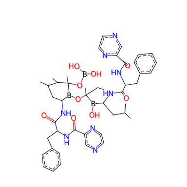 CCC(C)(OB(C(CC(C)C)NC(=O)C(Cc1ccccc1)NC(=O)c1cnccn1)C(C)(CC)OB(O)O)B(O)C(CC(C)C)NC(=O)C(Cc1ccccc1)NC(=O)c1cnccn1